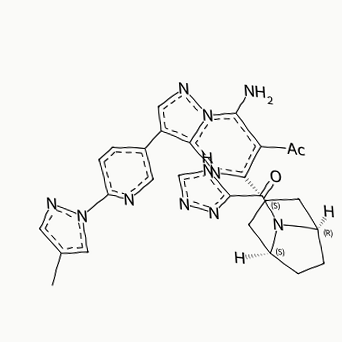 CC(=O)c1c([C@@H]2C[C@H]3CC[C@@H](C2)N3C(=O)c2nnc[nH]2)nc2c(-c3ccc(-n4cc(C)cn4)nc3)cnn2c1N